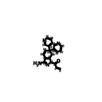 C=CC(=O)n1nc(N)c2c1CC(c1cccnc1)(c1cccnc1)C=C2